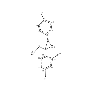 Cc1ccc(C2OC2(CCl)c2ccc(F)cc2F)cc1